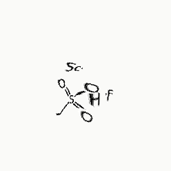 CS(=O)(=O)O.[F].[Sc]